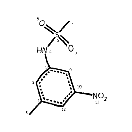 Cc1cc(NS(C)(=O)=O)cc([N+](=O)[O-])c1